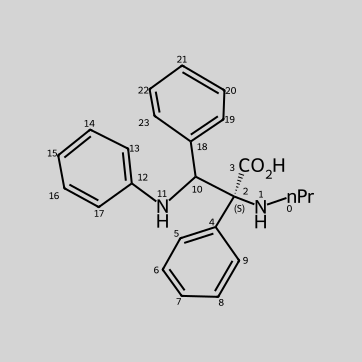 CCCN[C@@](C(=O)O)(c1ccccc1)C(Nc1ccccc1)c1ccccc1